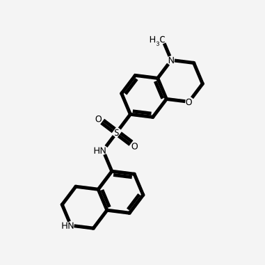 CN1CCOc2cc(S(=O)(=O)Nc3cccc4c3CCNC4)ccc21